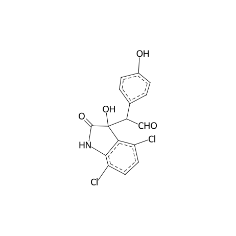 O=CC(c1ccc(O)cc1)C1(O)C(=O)Nc2c(Cl)ccc(Cl)c21